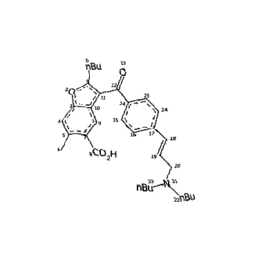 CCCCc1oc2cc(C)c(C(=O)O)cc2c1C(=O)c1ccc(C=CCN(CCCC)CCCC)cc1